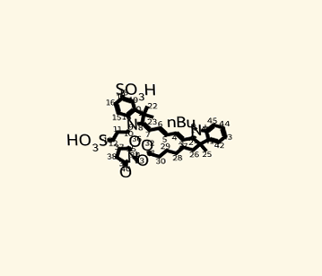 CCCC[N+]1=C(/C=C/C=C/C=C2/N(CCCS(=O)(=O)O)c3ccc(S(=O)(=O)O)cc3C2(C)C)C(C)(CCCCCC(=O)ON2C(=O)CCC2=O)c2ccccc21